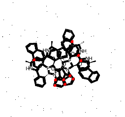 C[C@H](NC(=O)c1ccccc1[C@H]1n2c(=O)c3ccccc3c(=O)n2[C@H](c2ccccc2[C@H]2n3c(=O)c4ccccc4c(=O)n3[C@H](c3ccccc3C(=O)N[C@@H](C)c3cccc4ccccc34)P2c2ccccc2C(=O)N[C@@H](C)c2cccc3ccccc23)P1c1ccccc1C(=O)N[C@@H](C)c1cccc2ccccc12)c1cccc2ccccc12